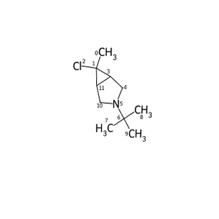 CC1(Cl)C2CN(C(C)(C)C)CC21